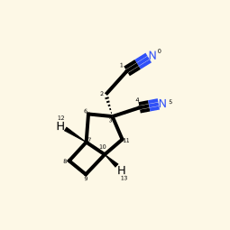 N#CC[C@@]1(C#N)C[C@H]2CC[C@H]2C1